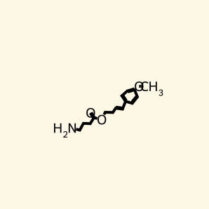 COc1ccc(/C=C/CCOC(=O)CCCN)cc1